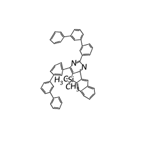 C[Si]1(C)c2cc3ccccc3cc2-c2nc(-c3cccc(-c4cccc(-c5ccccc5)c4)c3)nc(-c3cccc(-c4cccc(-c5ccccc5)c4)c3)c21